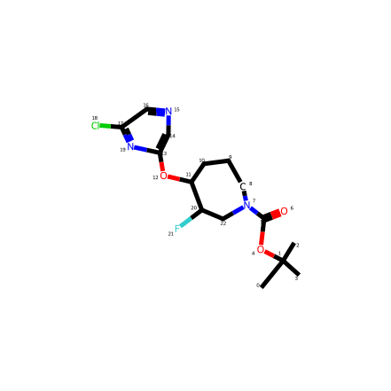 CC(C)(C)OC(=O)N1CCCC(Oc2cncc(Cl)n2)C(F)C1